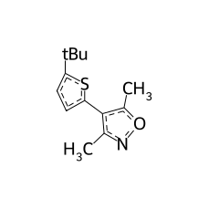 Cc1noc(C)c1-c1ccc(C(C)(C)C)s1